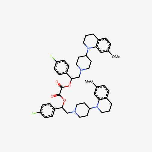 COc1ccc2c(c1)N(C1CCN(CC(OC(=O)C(=O)OC(CN3CCC(N4CCCc5ccc(OC)cc54)CC3)c3ccc(F)cc3)c3ccc(F)cc3)CC1)CCC2